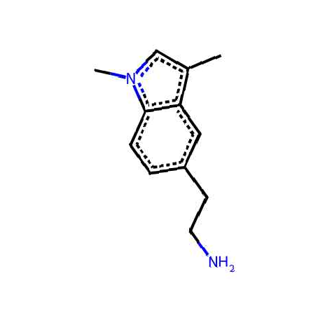 Cc1cn(C)c2ccc(CCN)cc12